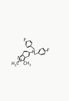 Cc1c2cc(N(Cc3ccc(F)cc3)Cc3ccc(F)cc3)ccc2nn1C